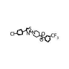 O=S(=O)(c1cccc(C(F)(F)F)c1)C1CCN(c2nc(-c3ccc(Cl)cc3)cs2)CC1